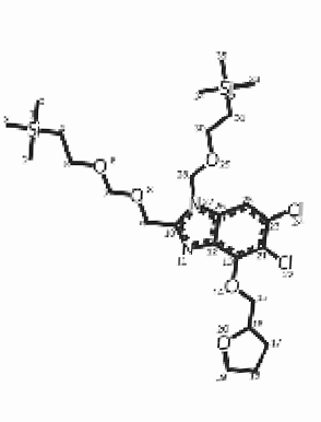 C[Si](C)(C)CCOCOCc1nc2c(OCC3CCCO3)c(Cl)c(Cl)cc2n1COCC[Si](C)(C)C